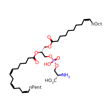 CCCCC/C=C\C/C=C\C/C=C\CCCCC(=O)O[C@H](COC(=O)CCCCCCC/C=C\CCCCCCCC)COP(=O)(O)OC[C@H](N)C(=O)O